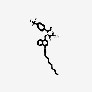 CCCCCCCCC#Cc1ccc(CN(C(=O)C(=O)O)C(CC)c2ccc(C(F)(F)F)cc2)c2ccccc12